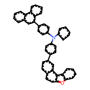 c1ccc(N(c2ccc(-c3ccc4ccc5oc6ccccc6c5c4c3)cc2)c2ccc(-c3cc4ccccc4c4ccccc34)cc2)cc1